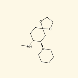 CN[C@@H]1CCC2(C[C@H]1N1CCCCC1)OCCO2